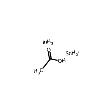 CC(=O)O.[InH3].[SnH2]